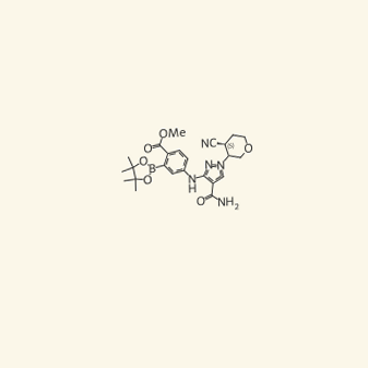 COC(=O)c1ccc(Nc2nn(C3COCC[C@@H]3C#N)cc2C(N)=O)cc1B1OC(C)(C)C(C)(C)O1